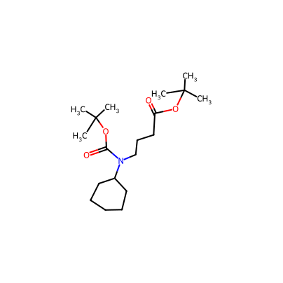 CC(C)(C)OC(=O)CCCN(C(=O)OC(C)(C)C)C1CCCCC1